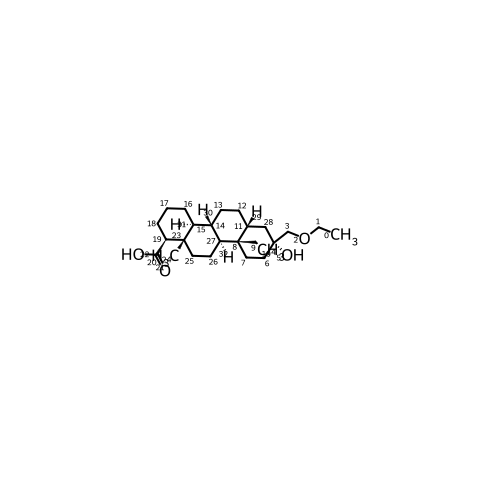 CCOC[C@@]1(O)CC[C@@]2(CC)[C@H](CC[C@H]3[C@@H]4CCC[C@H](C(=O)O)[C@@]4(C)CC[C@@H]32)C1